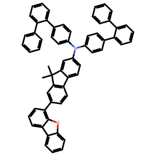 CC1(C)c2cc(-c3cccc4c3oc3ccccc34)ccc2-c2ccc(N(c3ccc(-c4ccccc4-c4ccccc4)cc3)c3ccc(-c4ccccc4-c4ccccc4)cc3)cc21